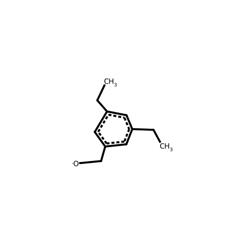 CCc1cc(CC)cc(C[O])c1